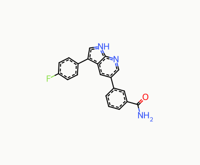 NC(=O)c1cccc(-c2cnc3[nH]cc(-c4ccc(F)cc4)c3c2)c1